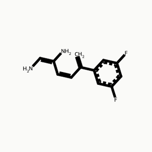 C=C(/C=C\C(N)=C/N)c1cc(F)cc(F)c1